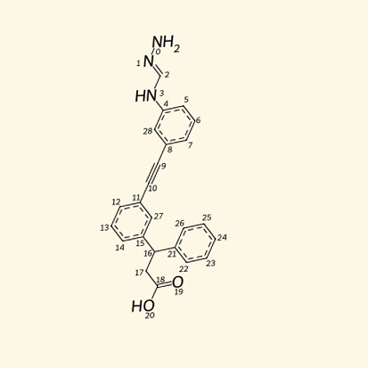 NN=CNc1cccc(C#Cc2cccc(C(CC(=O)O)c3ccccc3)c2)c1